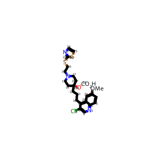 COc1ccc2ncc(Cl)c(CCCC3(OC(=O)O)CCN(CCSc4nccs4)CC3)c2c1